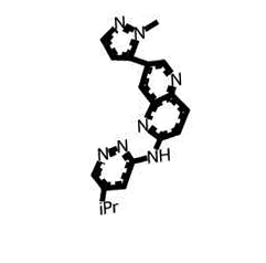 CC(C)c1cnnc(Nc2ccc3ncc(-c4ccnn4C)cc3n2)c1